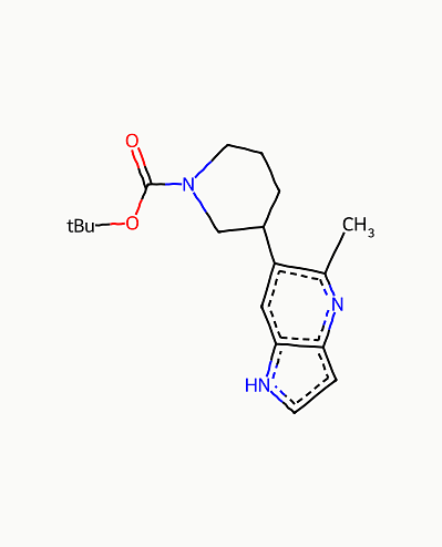 Cc1nc2cc[nH]c2cc1C1CCCN(C(=O)OC(C)(C)C)C1